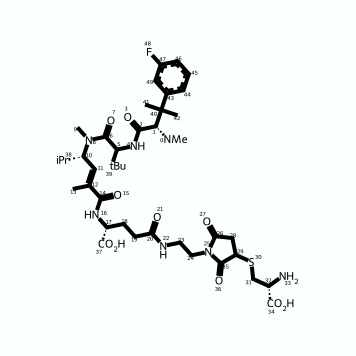 CN[C@H](C(=O)NC(C(=O)N(C)[C@H](/C=C(\C)C(=O)N[C@H](CCC(=O)NCCN1C(=O)CC(SC[C@H](N)C(=O)O)C1=O)C(=O)O)C(C)C)C(C)(C)C)C(C)(C)c1cccc(F)c1